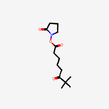 CC(C)(C)C(=O)CCCCC(=O)ON1CCCC1=O